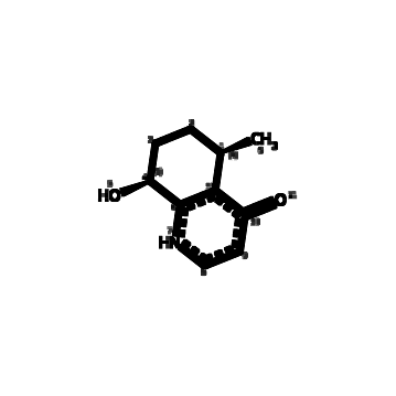 C[C@@H]1CC[C@H](O)c2[nH]ccc(=O)c21